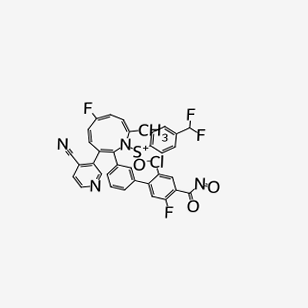 Cc1ccc(F)ccc(-c2cnccc2C#N)c(-c2cccc(-c3cc(F)c(C(=O)N=O)cc3Cl)c2)n1[S+]([O-])c1ccc(C(F)F)cc1